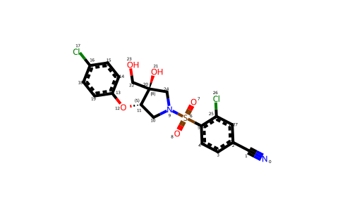 N#Cc1ccc(S(=O)(=O)N2C[C@H](Oc3ccc(Cl)cc3)[C@](O)(CO)C2)c(Cl)c1